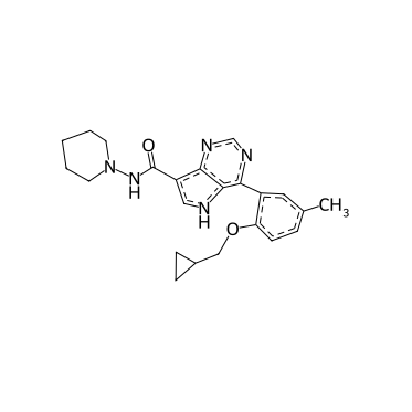 Cc1ccc(OCC2CC2)c(-c2ncnc3c(C(=O)NN4CCCCC4)c[nH]c23)c1